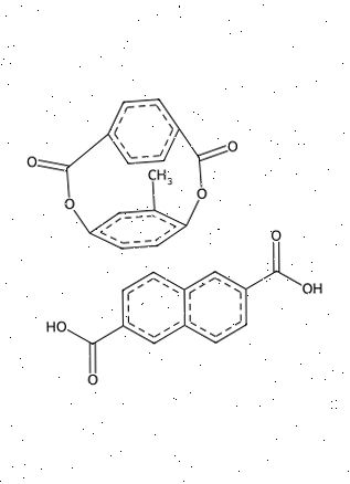 Cc1cc2ccc1OC(=O)c1ccc(cc1)C(=O)O2.O=C(O)c1ccc2cc(C(=O)O)ccc2c1